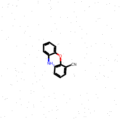 N#Cc1ccccc1Oc1ccccc1N